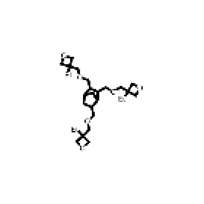 CCC1(COCC2CC3CC2C(COCC2(CC)COC2)C3COCC2(CC)COC2)COC1